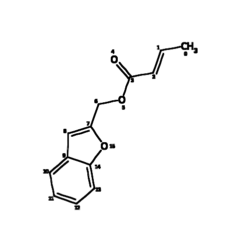 CC=CC(=O)OCc1cc2ccccc2o1